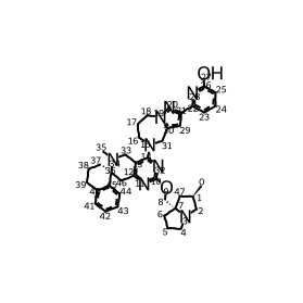 C[C@H]1CN2CCC[C@@]2(COc2nc3c(c(N4CCCn5nc(-c6cccc(O)n6)cc5C4)n2)CN(C)[C@@]2(CCCc4ccccc42)C3)C1